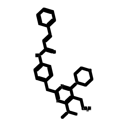 CN(C)c1nc(Cc2ccc(NC(=O)C=Cc3ccccc3)cc2)nc(N2CCOCC2)c1CC(=O)O